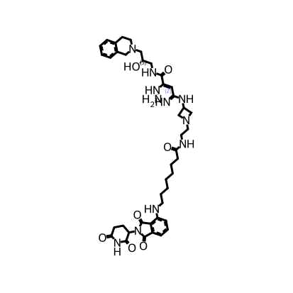 N=C(/C=C(\NN)C(=O)NC[C@H](O)CN1CCc2ccccc2C1)NC1CN(CCNC(=O)CCCCCCCNc2cccc3c2C(=O)N(C2CCC(=O)NC2=O)C3=O)C1